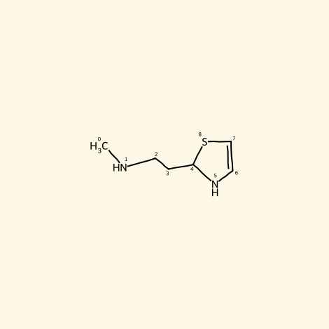 CNCCC1NC=CS1